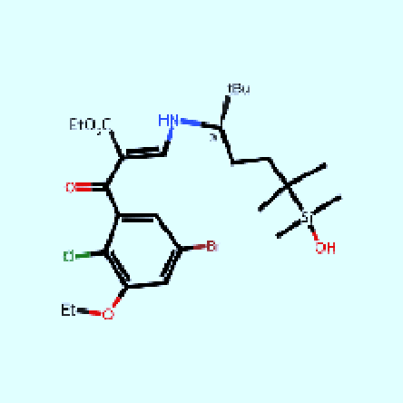 CCOC(=O)C(=CN[C@H](CCC(C)(C)[Si](C)(C)O)C(C)(C)C)C(=O)c1cc(Br)cc(OCC)c1Cl